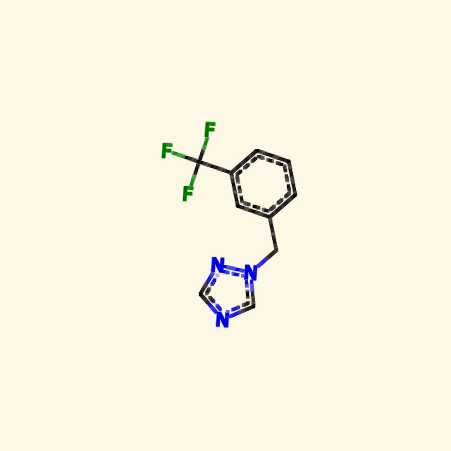 FC(F)(F)c1cccc(Cn2cncn2)c1